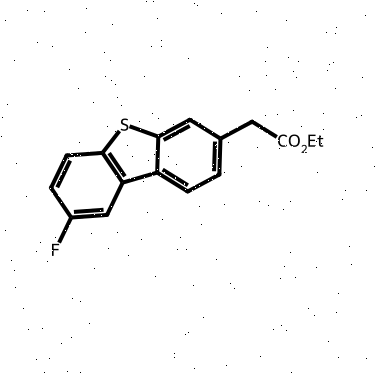 CCOC(=O)Cc1ccc2c(c1)sc1ccc(F)cc12